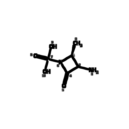 C[C@H]1C(N)C(=O)N1P(=O)(O)O